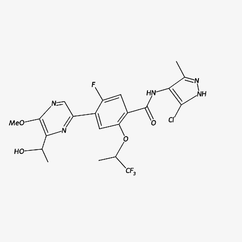 COc1ncc(-c2cc(OC(C)C(F)(F)F)c(C(=O)Nc3c(C)n[nH]c3Cl)cc2F)nc1C(C)O